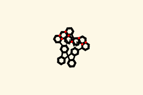 c1ccc(-c2cc3c(cc2N(c2ccccc2)c2ccccc2)C2(c4ccccc4-3)c3ccccc3-c3cc(-c4ccccc4)c(N(c4ccccc4)c4ccccc4-c4ccccc4)cc32)cc1